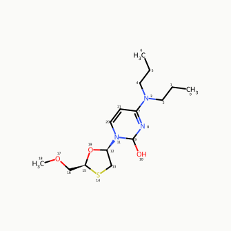 CCCN(CCC)C1=NC(O)N([C@H]2CS[C@@H](COC)O2)C=C1